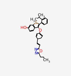 CCCc1nnc(/C=C/C2C=CC(Oc3c(-c4ccccc4C(C)C)sc4cc(O)ccc34)=CC2)o1